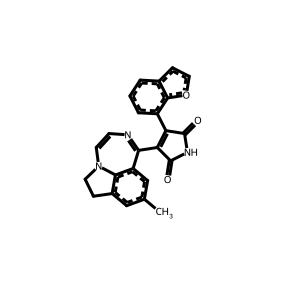 Cc1cc2c3c(c1)C(C1=C(c4cccc5ccoc45)C(=O)NC1=O)=NC=CN3CC2